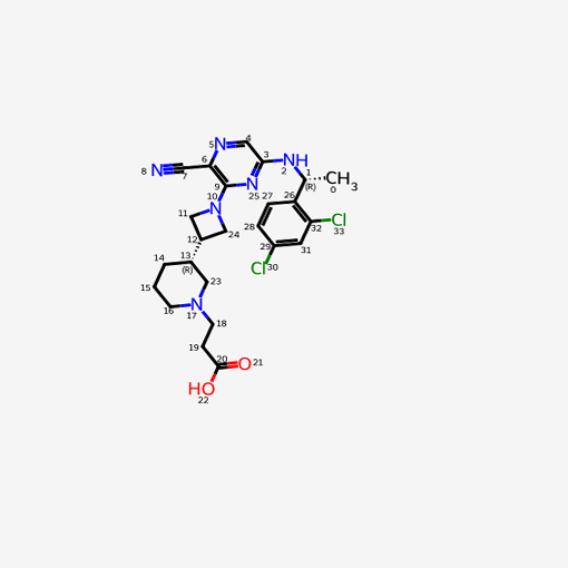 C[C@@H](Nc1cnc(C#N)c(N2CC([C@H]3CCCN(CCC(=O)O)C3)C2)n1)c1ccc(Cl)cc1Cl